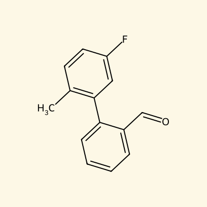 Cc1ccc(F)cc1-c1ccccc1C=O